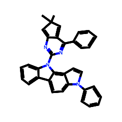 CC1(C)C=c2nc(-n3c4ccccc4c4ccc5c(ccn5-c5ccccc5)c43)nc(-c3ccccc3)c2=C1